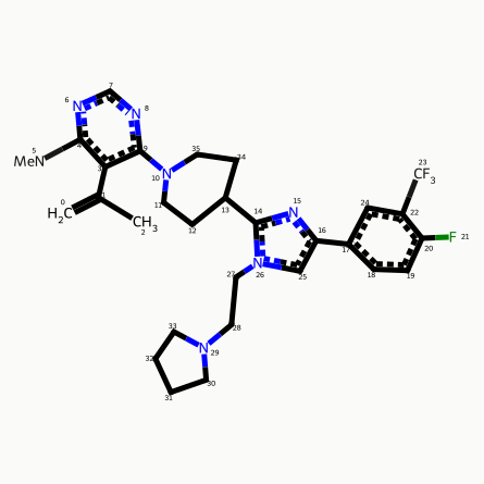 C=C(C)c1c(NC)ncnc1N1CCC(c2nc(-c3ccc(F)c(C(F)(F)F)c3)cn2CCN2CCCC2)CC1